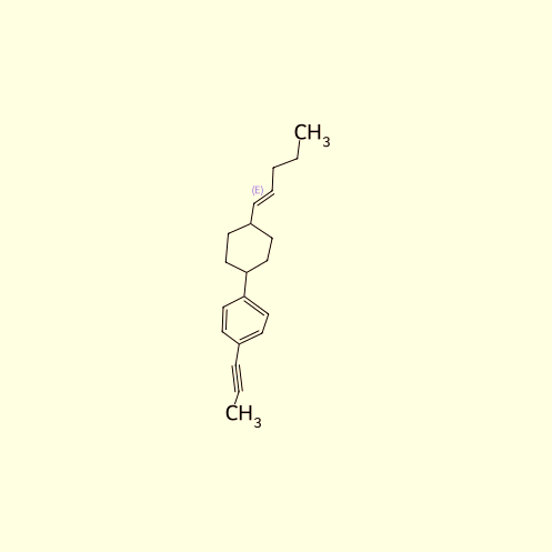 CC#Cc1ccc(C2CCC(/C=C/CCC)CC2)cc1